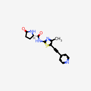 Cc1nc(NC(=O)[C@@H]2CCC(=O)N2)sc1C#Cc1ccncc1